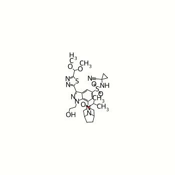 COC(OC)c1nnc(-c2nn(CCO)c3c(N4CC5CCC(C4)N5C(=O)C(C)C)cc(S(=O)(=O)NC4(C#N)CC4)cc23)s1